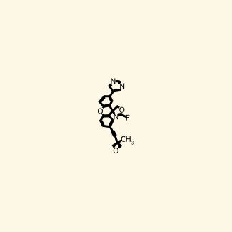 CC1(C#Cc2ccc3c(c2)C2(COC(F)=N2)c2cc(-c4cncnc4)ccc2O3)COC1